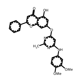 COc1ccc(Nc2cc(Oc3cc(O)c4c(=O)cc(-c5ccccc5)oc4c3)nc(C)n2)cc1OC